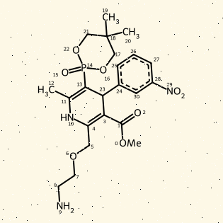 COC(=O)C1=C(COCCN)NC(C)=C(P2(=O)OCC(C)(C)CO2)C1c1cccc([N+](=O)[O-])c1